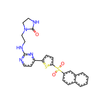 O=C1NCCN1CCNc1nccc(-c2ccc(S(=O)(=O)c3ccc4ccccc4c3)s2)n1